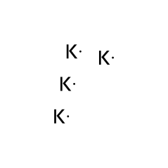 [K].[K].[K].[K]